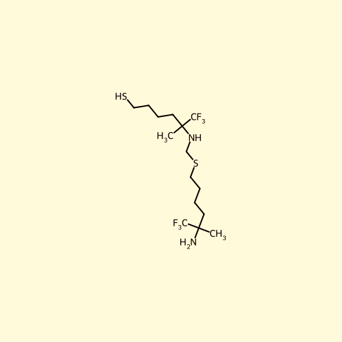 CC(N)(CCCCSCNC(C)(CCCCS)C(F)(F)F)C(F)(F)F